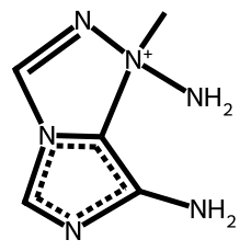 C[N+]1(N)N=Cn2cnc(N)c21